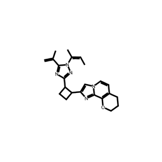 C=C(C)c1nc(C2CCC2c2cn3ccc4c(c3n2)OCCC4)nn1/C(C)=C\C